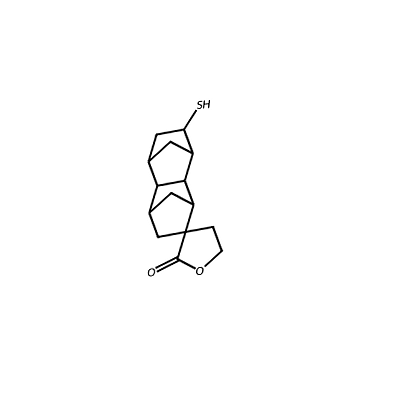 O=C1OCCC12CC1CC2C2C3CC(CC3S)C12